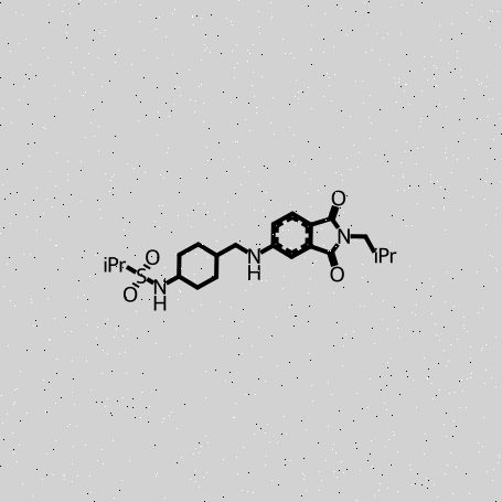 CC(C)CN1C(=O)c2ccc(NCC3CCC(NS(=O)(=O)C(C)C)CC3)cc2C1=O